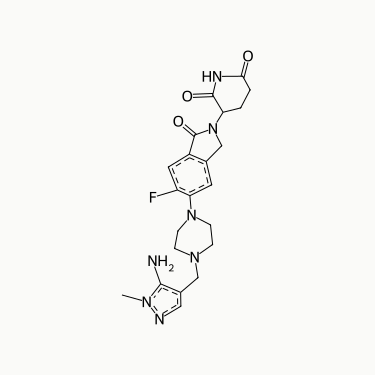 Cn1ncc(CN2CCN(c3cc4c(cc3F)C(=O)N(C3CCC(=O)NC3=O)C4)CC2)c1N